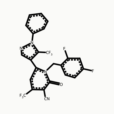 N#Cc1c(C(F)(F)F)cc(-c2cnn(-c3ccccc3)c2C(F)(F)F)n(Cc2ccc(F)cc2F)c1=O